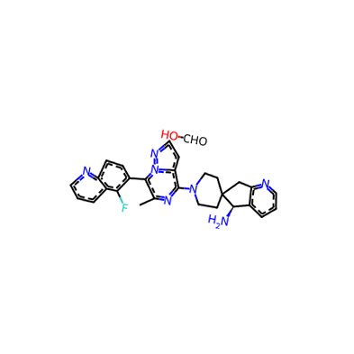 Cc1nc(N2CCC3(CC2)Cc2ncccc2[C@H]3N)c2ccnn2c1-c1ccc2ncccc2c1F.O=CO